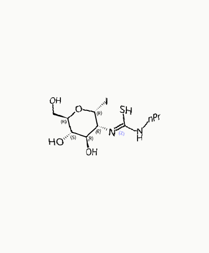 CCCN/C(S)=N/[C@@H]1[C@@H](O)[C@H](O)[C@@H](CO)O[C@@H]1I